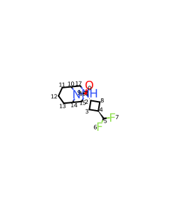 O=C([C@H]1C[C@H](C(F)F)C1)N1C2CCCC1CNC2